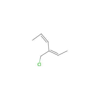 C/C=C\C(=C/C)CCl